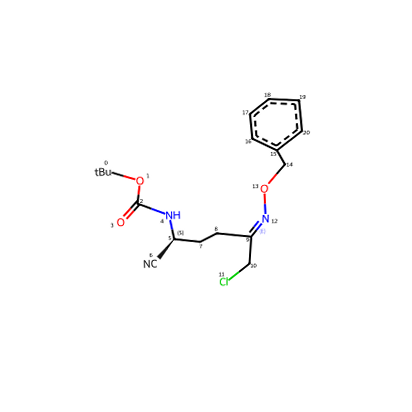 CC(C)(C)OC(=O)N[C@H](C#N)CC/C(CCl)=N\OCc1ccccc1